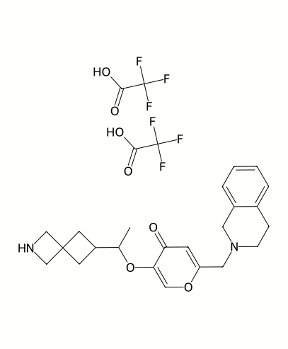 CC(Oc1coc(CN2CCc3ccccc3C2)cc1=O)C1CC2(CNC2)C1.O=C(O)C(F)(F)F.O=C(O)C(F)(F)F